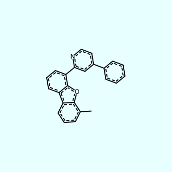 Cc1cccc2c1oc1c(-c3cc(-c4ccccc4)ccn3)cccc12